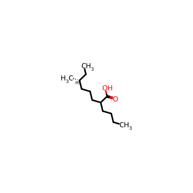 CCCCC(CCC[C@H](C)CC)C(=O)O